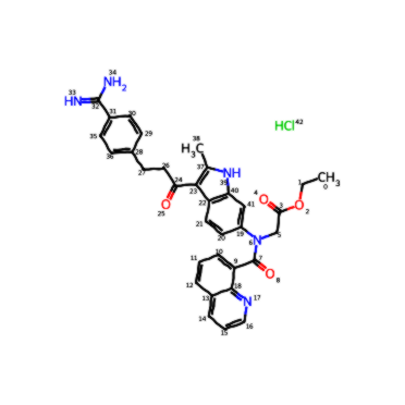 CCOC(=O)CN(C(=O)c1cccc2cccnc12)c1ccc2c(C(=O)CCc3ccc(C(=N)N)cc3)c(C)[nH]c2c1.Cl